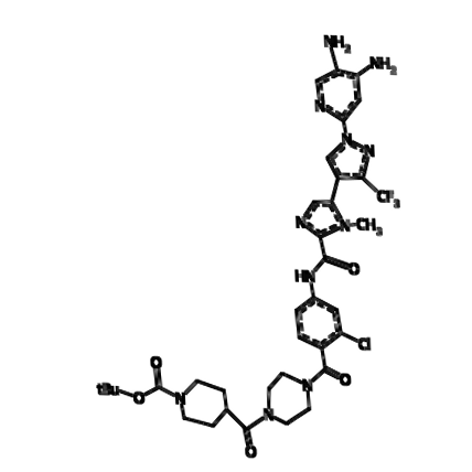 Cn1c(-c2cn(-c3cc(N)c(N)cn3)nc2C(F)(F)F)cnc1C(=O)Nc1ccc(C(=O)N2CCN(C(=O)C3CCN(C(=O)OC(C)(C)C)CC3)CC2)c(Cl)c1